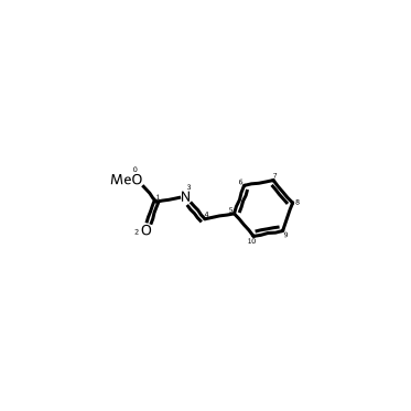 COC(=O)/N=C/c1ccccc1